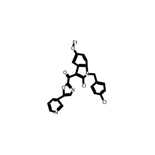 CCOc1ccc2c(c1)c(C(=O)c1ncc(-c3cccnc3)o1)c(Cl)n2Cc1ccc(Cl)cc1